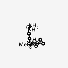 COC(=O)[C@H](CNC(=O)OCC1c2ccccc2-c2ccccc21)NC(=O)c1ccc(-c2ccc(CNC(=O)CN)cc2)cc1